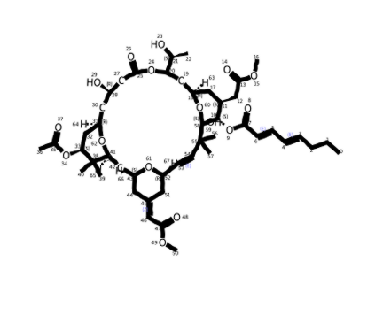 CCC/C=C/C=C/C(=O)O[C@H]1[C@H](CC(=O)OC)C[C@@H]2CC([C@H](C)O)OC(=O)C[C@H](O)C[C@@H]3C[C@H](OC(C)=O)C(C)(C)[C@H](C[C@@H]4C/C(=C/C(=O)OC)C[C@H](/C=C/C(C)(C)[C@]1(O)O2)O4)O3